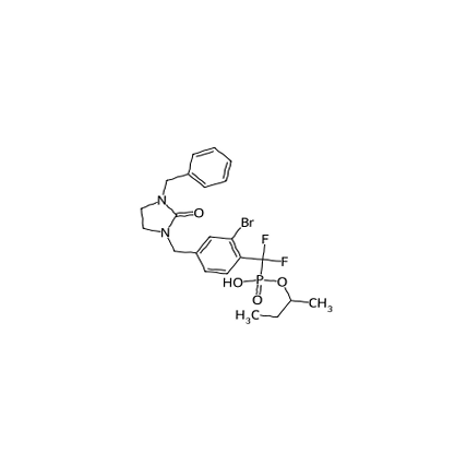 CCC(C)OP(=O)(O)C(F)(F)c1ccc(CN2CCN(Cc3ccccc3)C2=O)cc1Br